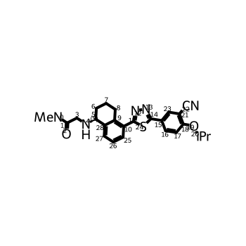 CNC(=O)CN[C@H]1CCCc2c(-c3nnc(-c4ccc(OC(C)C)c(C#N)c4)s3)cccc21